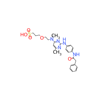 Cc1cc(N(C)CCOCCCS(=O)(=O)O)nc(Nc2ccc(NC(=O)Cc3ccccc3)cc2)n1